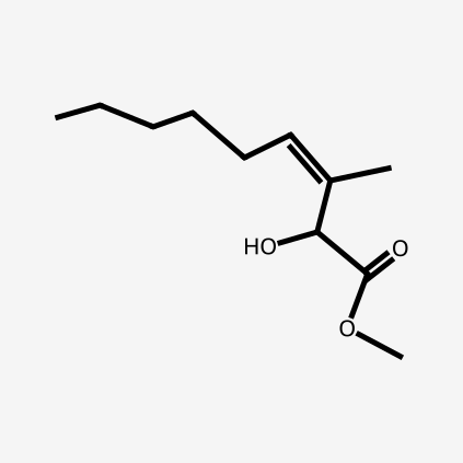 CCCCCC=C(C)C(O)C(=O)OC